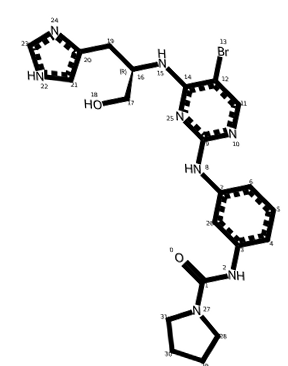 O=C(Nc1cccc(Nc2ncc(Br)c(N[C@@H](CO)Cc3c[nH]cn3)n2)c1)N1CCCC1